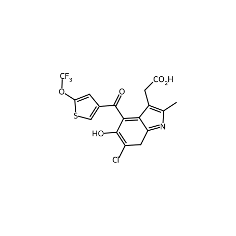 CC1=C(CC(=O)O)C2=C(C(=O)c3csc(OC(F)(F)F)c3)C(O)=C(Cl)CC2=N1